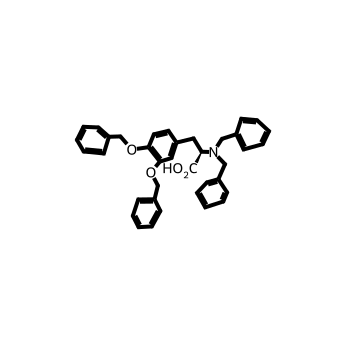 O=C(O)[C@@H](Cc1ccc(OCc2ccccc2)c(OCc2ccccc2)c1)N(Cc1ccccc1)Cc1ccccc1